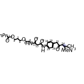 CCCC(=O)OCCCOCCNC(=O)CC(=O)Nc1ccc(CC(=O)/C=C(/C)NC)cc1